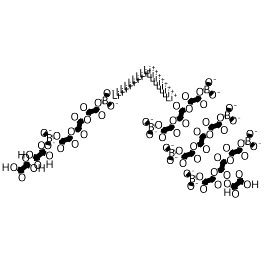 O=C(O)C(=O)O.O=C(O)C(=O)O.O=C(O)C(=O)O.O=C(OB([O-])[O-])C(=O)OC(=O)C(=O)OC(=O)C(=O)OB([O-])[O-].O=C(OB([O-])[O-])C(=O)OC(=O)C(=O)OC(=O)C(=O)OB([O-])[O-].O=C(OB([O-])[O-])C(=O)OC(=O)C(=O)OC(=O)C(=O)OB([O-])[O-].O=C(OB([O-])[O-])C(=O)OC(=O)C(=O)OC(=O)C(=O)OB([O-])[O-].[Li+].[Li+].[Li+].[Li+].[Li+].[Li+].[Li+].[Li+].[Li+].[Li+].[Li+].[Li+].[Li+].[Li+].[Li+].[Li+]